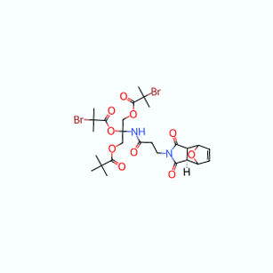 CC(C)(C)C(=O)OCC(COC(=O)C(C)(C)Br)(NC(=O)CCN1C(=O)C2C3C=CC(O3)[C@H]2C1=O)OC(=O)C(C)(C)Br